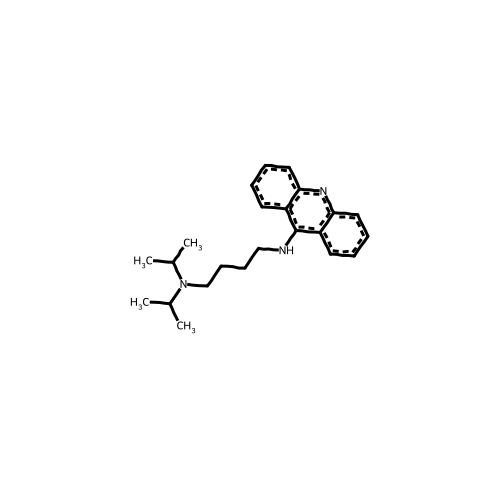 CC(C)N(CCCCNc1c2ccccc2nc2ccccc12)C(C)C